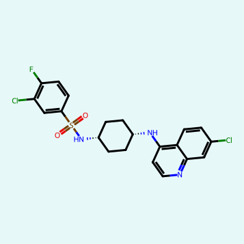 O=S(=O)(N[C@H]1CC[C@@H](Nc2ccnc3cc(Cl)ccc23)CC1)c1ccc(F)c(Cl)c1